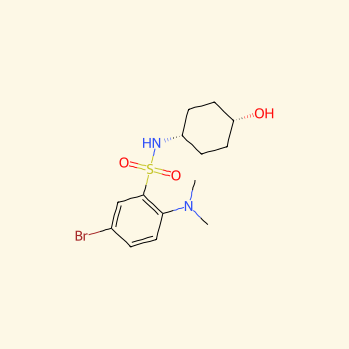 CN(C)c1ccc(Br)cc1S(=O)(=O)N[C@H]1CC[C@@H](O)CC1